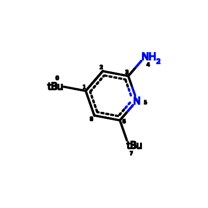 CC(C)(C)c1cc(N)nc(C(C)(C)C)c1